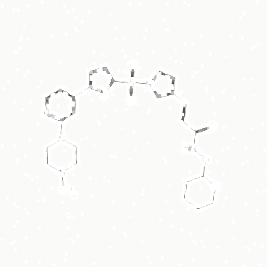 CN1CCN(c2cc(-c3ccc(S(=O)(=O)n4ccc(C=CC(=O)NOC5CCCCO5)c4)s3)ccn2)CC1